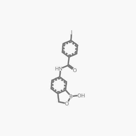 O=C(Nc1ccc2c(c1)B(O)OC2)c1ccc(I)cc1